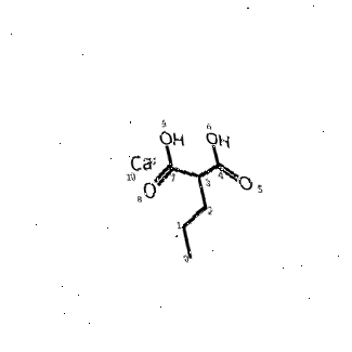 CCCC(C(=O)O)C(=O)O.[Ca]